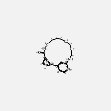 O=C1NCCCCCCCCNc2cc(ccn2)-c2nc1cs2